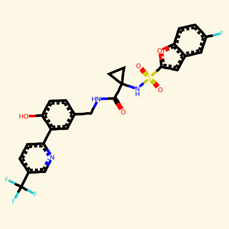 O=C(NCc1ccc(O)c(-c2ccc(C(F)(F)F)cn2)c1)C1(NS(=O)(=O)c2cc3cc(F)ccc3o2)CC1